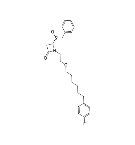 O=C1CC([S+]([O-])Cc2ccccc2)N1CCOCCCCCCc1ccc(F)cc1